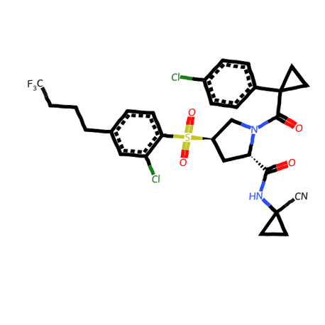 N#CC1(NC(=O)[C@@H]2C[C@@H](S(=O)(=O)c3ccc(CCCC(F)(F)F)cc3Cl)CN2C(=O)C2(c3ccc(Cl)cc3)CC2)CC1